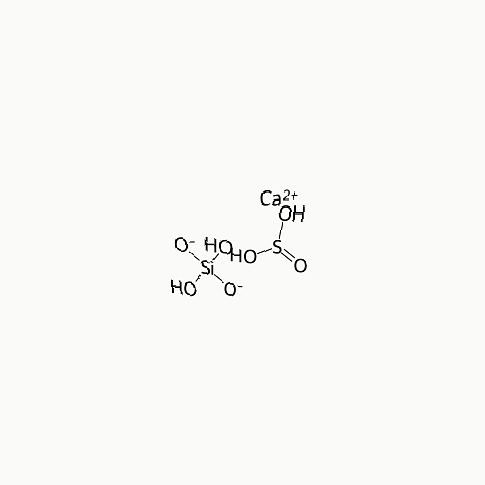 O=S(O)O.[Ca+2].[O-][Si]([O-])(O)O